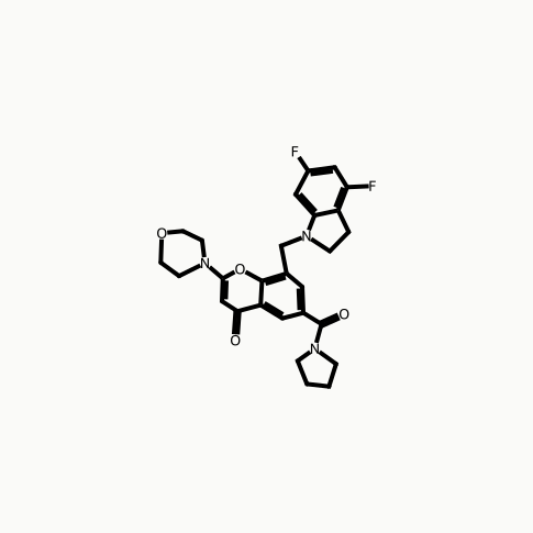 O=C(c1cc(CN2CCc3c(F)cc(F)cc32)c2oc(N3CCOCC3)cc(=O)c2c1)N1CCCC1